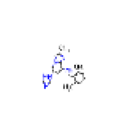 Cc1cn2cc(-n3cncn3)cc(NCc3c(C)cccc3C)c2n1